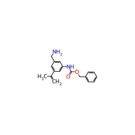 C=C(C)c1cc(CN)cc(NC(=O)OCc2ccccc2)c1